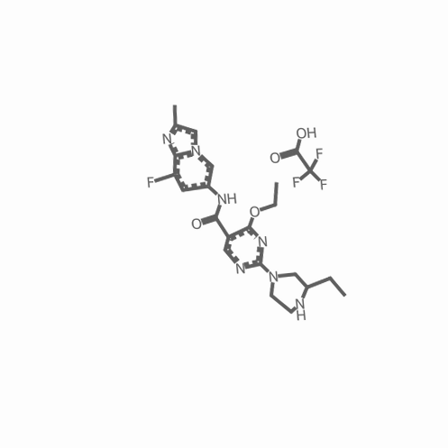 CCOc1nc(N2CCNC(CC)C2)ncc1C(=O)Nc1cc(F)c2nc(C)cn2c1.O=C(O)C(F)(F)F